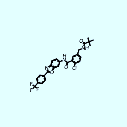 CC(C)(C)C(=O)NCc1ccc(Cl)c(C(=O)Nc2ccc3nc(-c4ccc(C(F)(F)F)cc4)oc3c2)c1